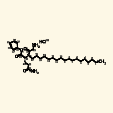 CCCCCCCCCCCCCCCCCCN(C(=O)CN)[C@H](CCC(N)=O)C(=O)Oc1ccccc1.Cl